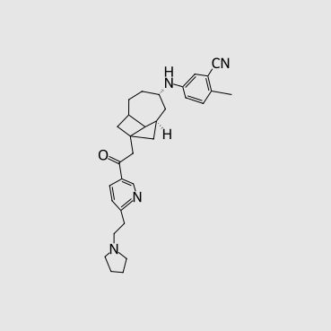 Cc1ccc(N[C@H]2CCC3CC4(CC(=O)c5ccc(CCN6CCCC6)nc5)C[C@H](C2)C34)cc1C#N